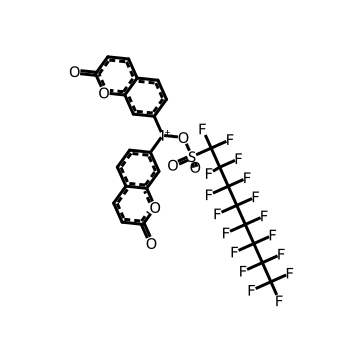 O=c1ccc2ccc([I+](OS(=O)(=O)C(F)(F)C(F)(F)C(F)(F)C(F)(F)C(F)(F)C(F)(F)C(F)(F)C(F)(F)F)c3ccc4ccc(=O)oc4c3)cc2o1